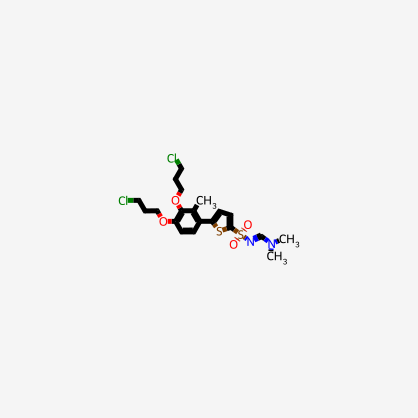 Cc1c(-c2ccc(S(=O)(=O)N=CN(C)C)s2)ccc(OCCCCl)c1OCCCCl